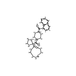 O=C(c1cccc2ccccc12)N1CCN(C(=O)C2(C3CCCCCCCC3)CCCS2)CC1